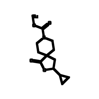 CC(C)(C)OC(=O)N1CCC2(CC1)CC(C1CC1)OC2=O